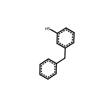 Sc1[c]ccc(Cc2ccccc2)c1